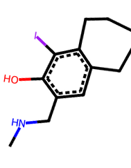 CNCc1cc2c(c(I)c1O)CCCCC2